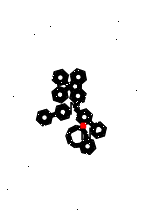 C=C1/C=C\C=C/Cc2ccccc2N1C1=C(c2ccc(N(c3ccc(-c4ccccc4)cc3)c3ccc4c(c3)C(c3ccccc3)(c3ccccc3)c3ccccc3-4)cc2)CCC=C1